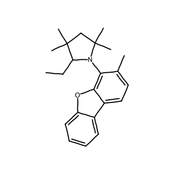 CCC1N(c2c(C)ccc3c2oc2ccccc23)C(C)(C)CC1(C)C